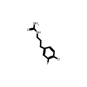 NC(=O)NCC[CH]c1ccc(Cl)c(F)c1